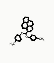 Cc1ccc(OC(Oc2ccc(C)cc2)c2ccc3ccc4cccc5ccc2c3c45)cc1